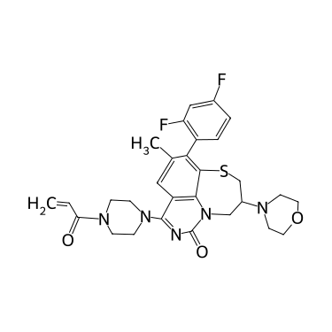 C=CC(=O)N1CCN(c2nc(=O)n3c4c(c(-c5ccc(F)cc5F)c(C)cc24)SCC(N2CCOCC2)C3)CC1